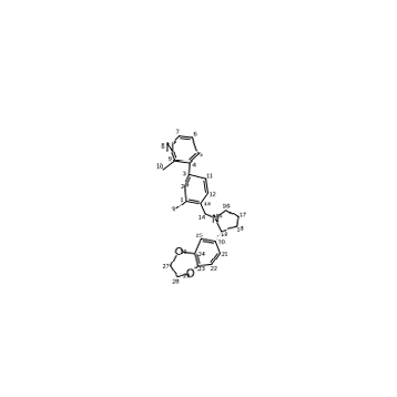 Cc1cc(-c2cccnc2C)ccc1CN1CCC[C@@H]1c1ccc2c(c1)OCCO2